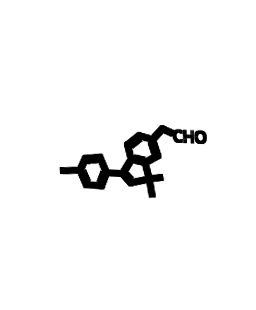 Cc1ccc(C2=CC(C)(C)c3cc(CC=O)ccc32)cc1